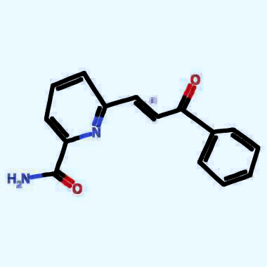 NC(=O)c1cccc(/C=C/C(=O)c2ccccc2)n1